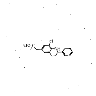 CCOC(=O)Cc1cc(Cl)c2c(c1)CCC(c1ccccc1)N2